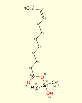 CCCCCCCC/C=C\CCCCCCCC(=O)[O][Sn]([CH3])([CH3])[OH]